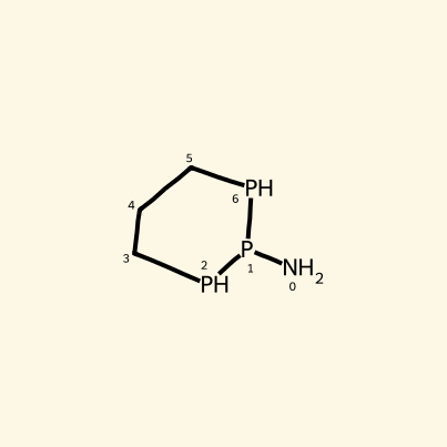 NP1PCCCP1